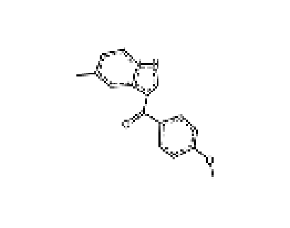 COc1ccc(C(=O)c2cnn3ccc(C)cc23)cc1